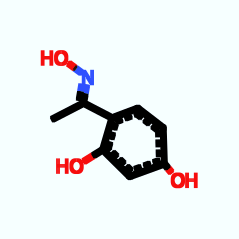 C/C(=N\O)c1ccc(O)cc1O